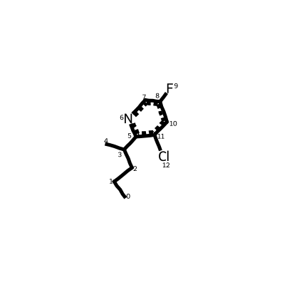 CCCC(C)c1ncc(F)cc1Cl